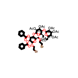 CC(=O)OC[C@H]1O[C@@H](O[C@@H]2[C@H](OC(C)=O)[C@@H](OC(C)=O)[C@H](O[C@H]3[C@H](OC(=O)c4ccccc4)[C@@H](OC(=O)c4ccccc4)[C@@H](OCCBr)O[C@@H]3COCCBr)O[C@@H]2COC(C)=O)[C@H](OC(C)=O)[C@@H](OC(C)=O)[C@H]1OC(C)=O